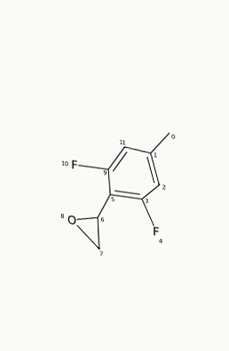 Cc1cc(F)c(C2CO2)c(F)c1